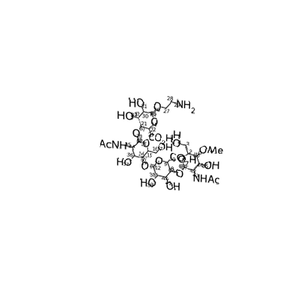 CO[C@@H]1C(CO)O[C@H](O[C@@H]2C(C(=O)O)O[C@@H](O[C@@H]3C(CO)O[C@H](O[C@@H]4C(C(=O)O)O[C@@H](OCCN)C(O)C4O)C(NC(C)=O)C3O)C(O)C2O)C(NC(C)=O)C1O